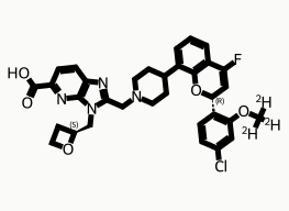 [2H]C([2H])([2H])Oc1cc(Cl)ccc1[C@H]1C=C(F)c2cccc(C3CCN(Cc4nc5ccc(C(=O)O)nc5n4C[C@@H]4CCO4)CC3)c2O1